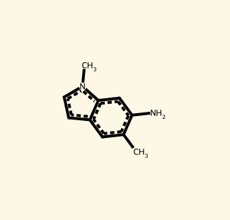 Cc1cc2ccn(C)c2cc1N